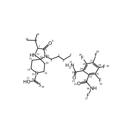 CCCCN1C(=O)C(C(C)C)NC12CCN(C(O)=S)CC2.NC(=O)c1c(F)c(F)c(F)c(F)c1C(=O)NF